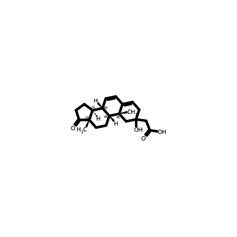 C[C@]12CC(O)(CC(=O)O)CC=C1C=C[C@@H]1[C@H]2CC[C@]2(C)C(=O)CC[C@@H]12